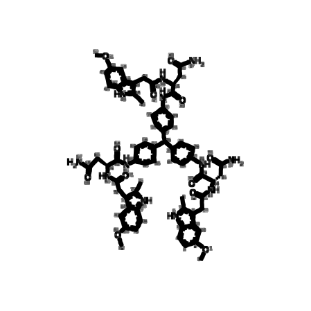 COc1ccc2[nH]c(C)c(CC(=O)N[C@@H](CC(N)=O)C(=O)Nc3ccc(C(c4ccc(NC(=O)[C@H](CC(N)=O)NC(=O)Cc5c(C)[nH]c6ccc(OC)cc56)cc4)c4ccc(NC(=O)[C@H](CC(N)=O)NC(=O)Cc5c(C)[nH]c6ccc(OC)cc56)cc4)cc3)c2c1